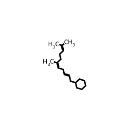 CC(C)=CCCC(C)=CCC=CCC1CCCCC1